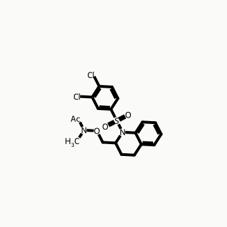 CC(=O)N(C)OCC1CCc2ccccc2N1S(=O)(=O)c1ccc(Cl)c(Cl)c1